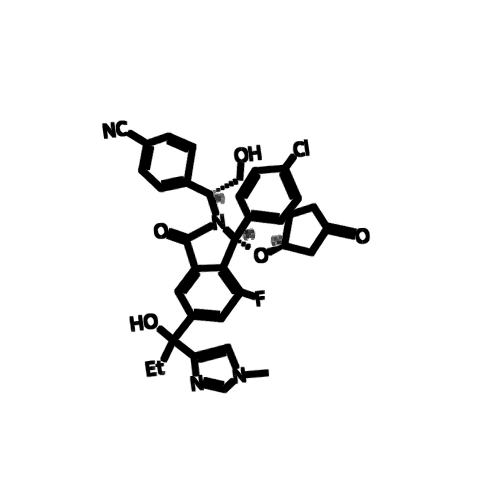 CCC(O)(c1cc(F)c2c(c1)C(=O)N([C@@H](CO)c1ccc(C#N)cc1)[C@@]2(O[C@H]1CCC(=O)C1)c1ccc(Cl)cc1)c1cn(C)cn1